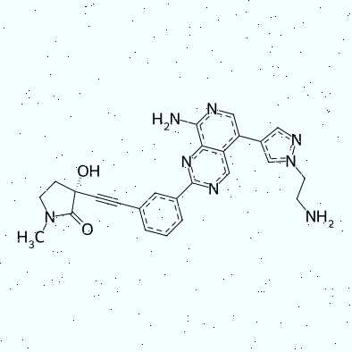 CN1CC[C@@](O)(C#Cc2cccc(-c3ncc4c(-c5cnn(CCN)c5)cnc(N)c4n3)c2)C1=O